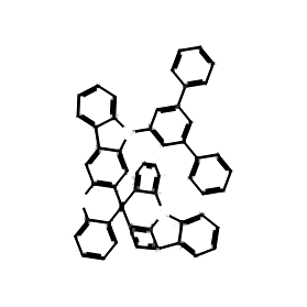 c1ccc(-c2cc(-c3ccccc3)cc(-n3c4ccccc4c4cc5c(cc43)C3(c4ccccc4S5)c4ccccc4-n4c5ccccc5c5cccc3c54)c2)cc1